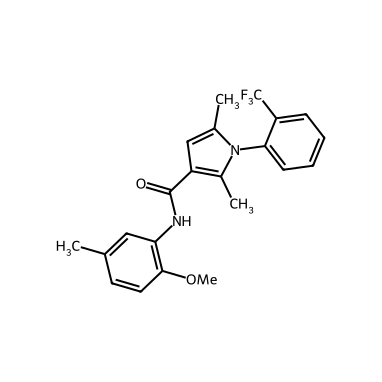 COc1ccc(C)cc1NC(=O)c1cc(C)n(-c2ccccc2C(F)(F)F)c1C